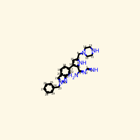 N=C/N=C(/N)c1[nH]c(CN2CCNCC2)cc1-c1ccc2cn(Cc3ccccc3)nc2c1